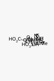 COC(=O)C1=C(CN2CCN3C(=O)N(c4ccc(CCC(=O)O)cc4F)C[C@@H]3C2)N=C(c2nccs2)N[C@H]1c1ccc(F)cc1Cl.O=S(=O)(O)O